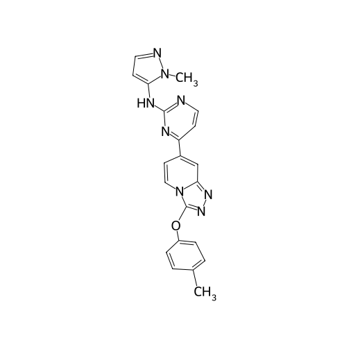 Cc1ccc(Oc2nnc3cc(-c4ccnc(Nc5ccnn5C)n4)ccn23)cc1